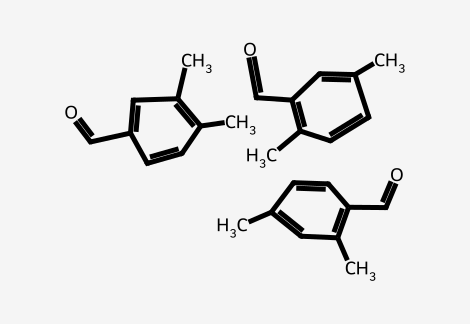 Cc1ccc(C)c(C=O)c1.Cc1ccc(C=O)c(C)c1.Cc1ccc(C=O)cc1C